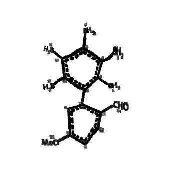 Bc1c(B)c(B)c(-c2cc(OC)ccc2C=O)c(B)c1B